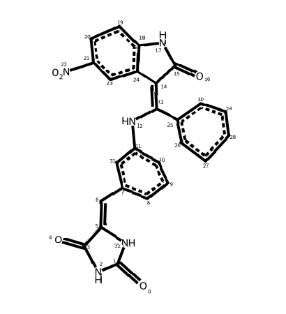 O=C1NC(=O)/C(=C/c2cccc(NC(=C3C(=O)Nc4ccc([N+](=O)[O-])cc43)c3ccccc3)c2)N1